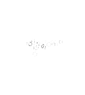 CCOC(=O)[C@]1(C)CC[C@@H](n2ncc(C(=O)N3C[C@H](C4CCCCC4)CC3C(=O)c3c(Cl)cncc3Cl)c2C(F)(F)F)CC1